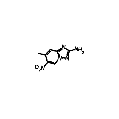 Cc1cc2nc(N)nn2cc1[N+](=O)[O-]